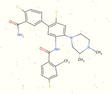 C[C@@H]1CN(c2cc(F)c(-c3ccc(F)c(C(N)=O)c3)cc2NC(=O)c2ccc(F)cc2C(F)(F)F)CCN1C